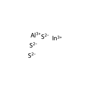 [Al+3].[In+3].[S-2].[S-2].[S-2]